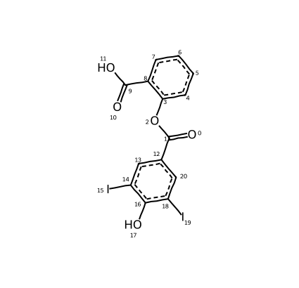 O=C(Oc1ccccc1C(=O)O)c1cc(I)c(O)c(I)c1